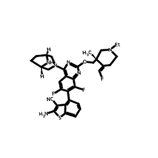 CCN1CC/C(=C\F)[C@](C)(COc2nc(N3C[C@H]4CC[C@@H](C3)N4)c3cc(F)c(-c4cccc5sc(N)c(C#N)c45)c(F)c3n2)C1